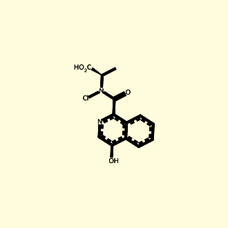 C[C@H](C(=O)O)N(Cl)C(=O)c1ncc(O)c2ccccc12